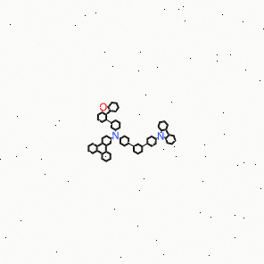 c1cc(-c2ccc(N(c3cccc(-c4cccc5oc6ccccc6c45)c3)c3ccc4c5ccccc5c5ccccc5c4c3)cc2)cc(-c2ccc(-n3c4ccccc4c4ccccc43)cc2)c1